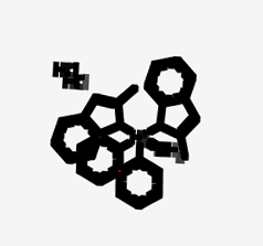 CC1=Cc2ccccc2[CH]1[Hf](=[SiH2])([c]1ccccc1)([c]1ccccc1)[CH]1C(C)=Cc2ccccc21.Cl.Cl